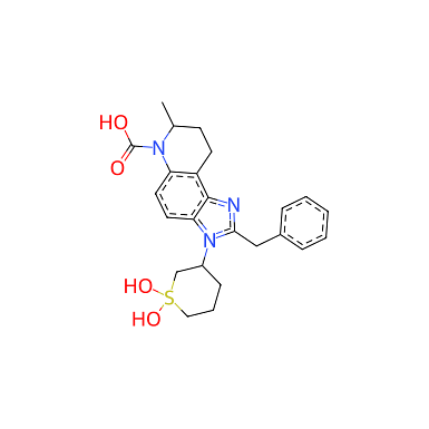 CC1CCc2c(ccc3c2nc(Cc2ccccc2)n3C2CCCS(O)(O)C2)N1C(=O)O